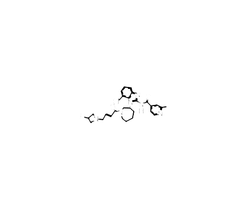 Cc1cc(C(=O)Nc2nc3cccc(Cl)c3n2[C@@H]2CCCCN(C(=O)C=CCN3CC(F)C3)C2)ccn1